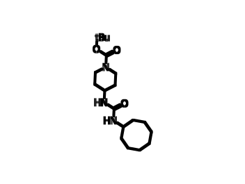 CC(C)(C)OC(=O)N1CCC(NC(=O)NC2CCCCCCC2)CC1